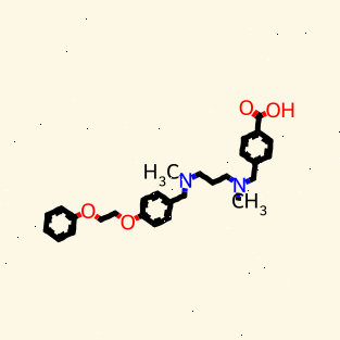 CN(CCCN(C)Cc1ccc(C(=O)O)cc1)Cc1ccc(OCCOc2ccccc2)cc1